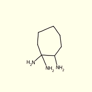 NC1CCCCCC1(N)N